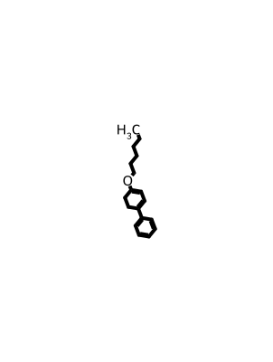 CCCCCCOC1=CC=C(c2ccccc2)CC1